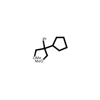 COCC(COC)(C(C)C)C1CCCC1